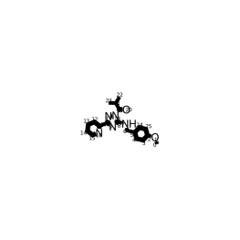 COc1ccc(CNc2nc(-c3ccccn3)nn2C(=O)C(C)C)cc1